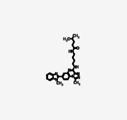 Cc1nnc2c(NCCCCNC(=O)CCC(C)C)nc3cc(-c4nc5ccccc5n4C)ccc3n12